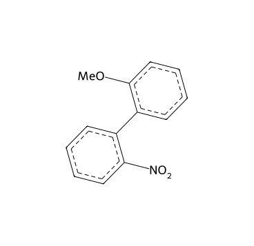 COc1ccccc1-c1ccccc1[N+](=O)[O-]